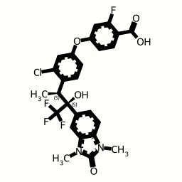 C[C@@H](c1ccc(Oc2ccc(C(=O)O)c(F)c2)cc1Cl)[C@](O)(c1ccc2c(c1)n(C)c(=O)n2C)C(F)(F)F